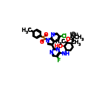 Cc1ccc(S(=O)(=O)n2cc(-c3ncc(F)c(N[C@H]4CCC[C@@](C)(O[Si](C)(C)C(C)(C)C)[C@@H]4O)n3)c3cc(Cl)cnc32)cc1